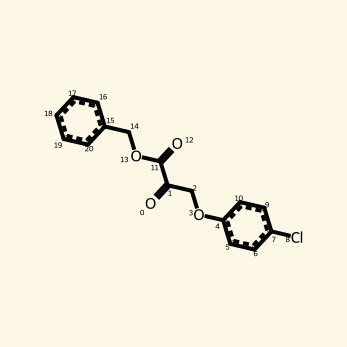 O=C(COc1ccc(Cl)cc1)C(=O)OCc1ccccc1